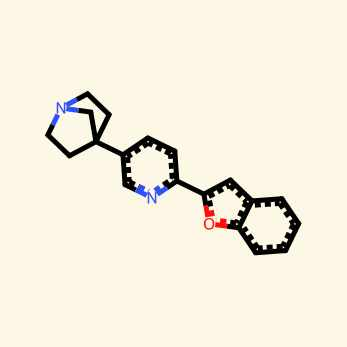 c1ccc2oc(-c3ccc(C45CCN(CC4)C5)cn3)cc2c1